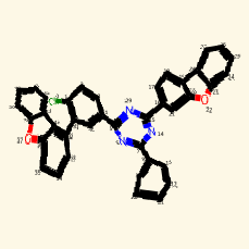 Clc1ccc(-c2nc(-c3ccccc3)nc(-c3ccc4c(c3)oc3ccccc34)n2)cc1-c1cccc2oc3ccccc3c12